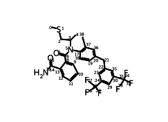 CSCC(C)N(C(=O)c1ccccc1C(N)=O)c1ccc(Cc2cc(C(F)(F)F)cc(C(F)(F)F)c2)cc1C